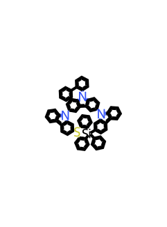 c1ccc(-c2ccccc2-n2c3ccc(-n4c5ccccc5c5ccccc54)cc3c3cc(-n4c5ccccc5c5ccc([Si]6(c7ccccc7)c7ccccc7Sc7ccccc76)cc54)ccc32)cc1